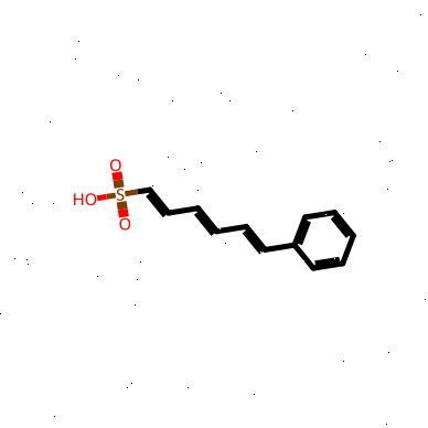 O=S(=O)(O)C=CC=CC=Cc1ccccc1